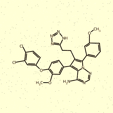 COc1cccc(-c2c(CCc3nnn[nH]3)c(-c3ccc(Oc4ccc(Cl)c(Cl)c4)c(OC)c3)c3c(N)ncnn23)c1